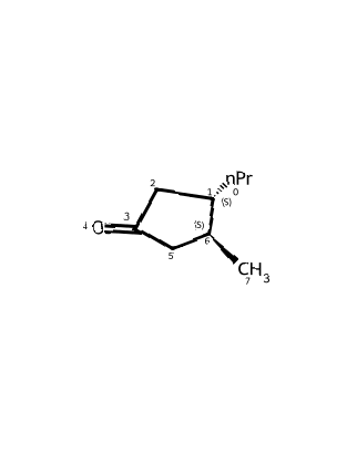 CCC[C@H]1CC(=O)C[C@@H]1C